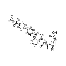 O=C(NC1[C@@H]2CC3C[C@H]1CC(O)(C3)C2)ON1CCN(c2ccc(N3CCN(S(=O)(=O)C4CC4)CC3)cn2)c2ccccc21